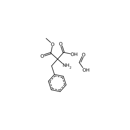 COC(=O)C(N)(Cc1ccccc1)C(=O)O.O=CO